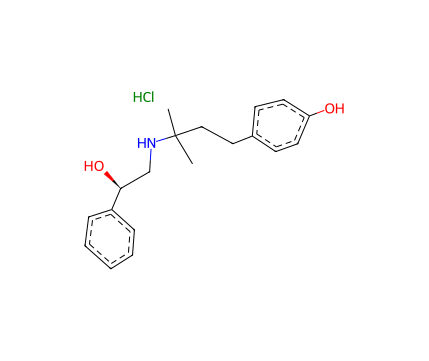 CC(C)(CCc1ccc(O)cc1)NC[C@H](O)c1ccccc1.Cl